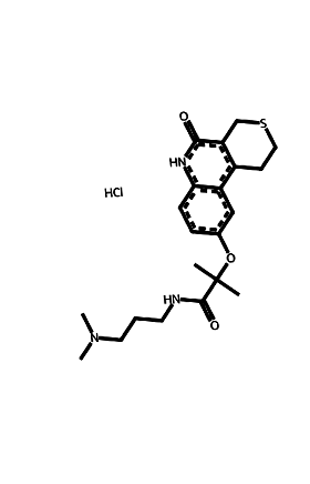 CN(C)CCCNC(=O)C(C)(C)Oc1ccc2[nH]c(=O)c3c(c2c1)CCSC3.Cl